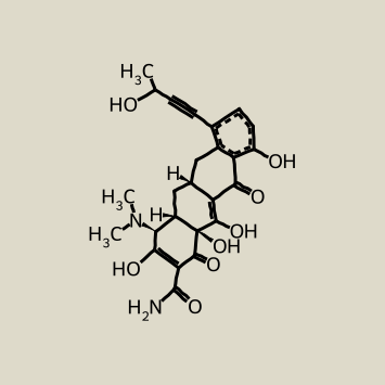 CC(O)C#Cc1ccc(O)c2c1C[C@H]1C[C@H]3[C@H](N(C)C)C(O)=C(C(N)=O)C(=O)[C@@]3(O)C(O)=C1C2=O